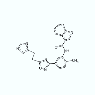 Cc1ccc(-c2noc(CCn3cncn3)n2)cc1NC(=O)c1cnc2ccccn12